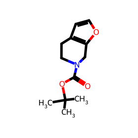 CC(C)(C)OC(=O)N1CCc2ccoc2C1